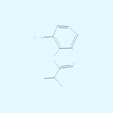 C/C=C(\Sc1c(N)cccc1Cl)C(C)C